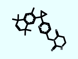 Cc1cc2c(cc1C1(c3ccc(CN4C(=O)CCNC4=O)cn3)CC1)C(C)(C)C=CC2(C)C